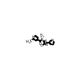 Cc1cc(C(=O)N(C)c2sc(-c3cccnc3)nc2Cl)ccn1